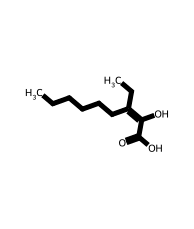 CCCCCC/C(CC)=C(/O)C(=O)O